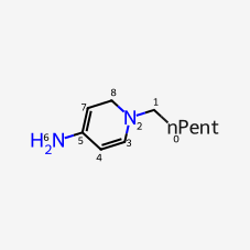 CCCCCCN1C=CC(N)=CC1